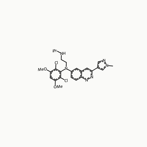 COc1cc(OC)c(Cl)c(N(CCNC(C)C)c2ccc3nnc(-c4cnn(C)c4)cc3c2)c1Cl